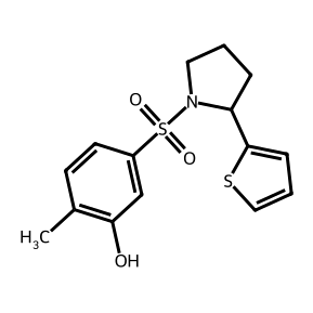 Cc1ccc(S(=O)(=O)N2CCCC2c2cccs2)cc1O